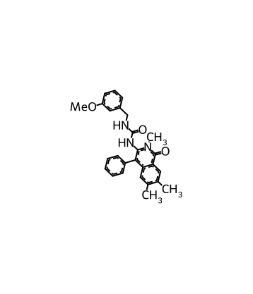 COc1cccc(CNC(=O)Nc2c(-c3ccccc3)c3cc(C)c(C)cc3c(=O)n2C)c1